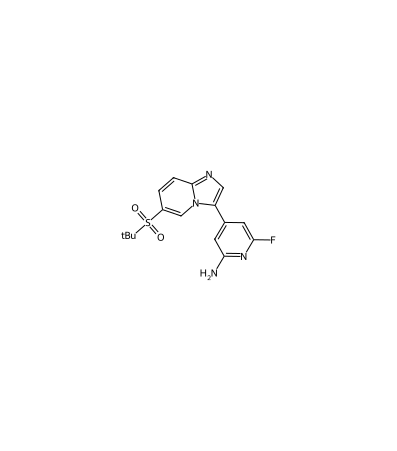 CC(C)(C)S(=O)(=O)c1ccc2ncc(-c3cc(N)nc(F)c3)n2c1